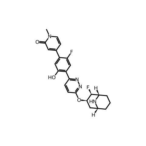 Cn1ccc(-c2cc(O)c(-c3ccc(O[C@@H]4C[C@H]5CCC[C@H](N5)[C@@H]4F)nn3)cc2F)cc1=O